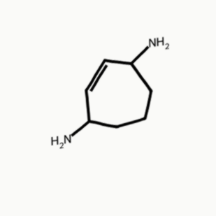 NC1C=CC(N)CCC1